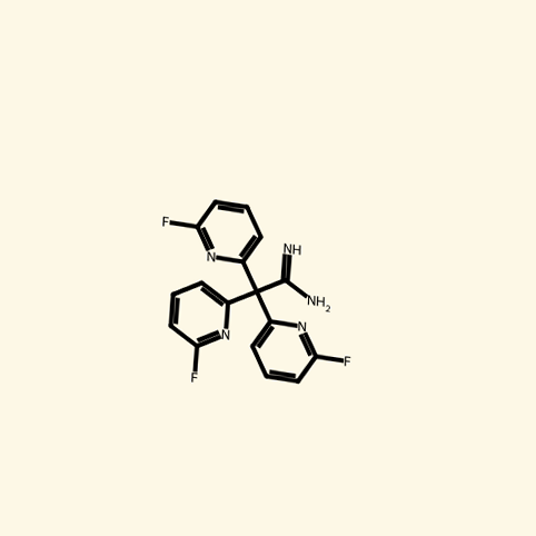 N=C(N)C(c1cccc(F)n1)(c1cccc(F)n1)c1cccc(F)n1